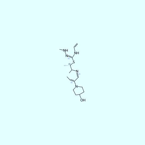 C=CN/C(=N\NC)S[C@@H](C)C(C)/N=C\C(=C/C)N1CCC(O)CC1